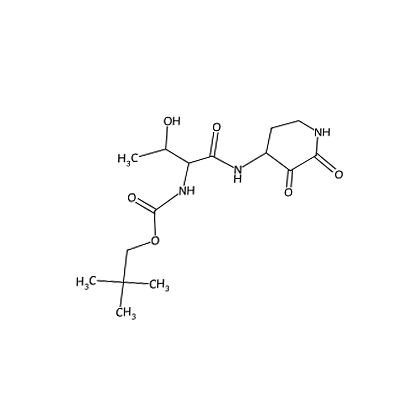 CC(O)C(NC(=O)OCC(C)(C)C)C(=O)NC1CCNC(=O)C1=O